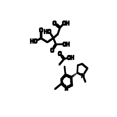 CC(=O)O.Cc1cc(C)c([C@@H]2CCCN2C)cn1.O=C(O)CC(O)(CC(=O)O)C(=O)O